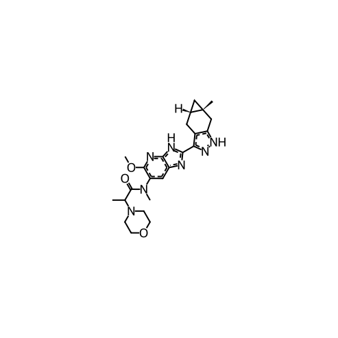 COc1nc2[nH]c(-c3n[nH]c4c3C[C@@H]3C[C@]3(C)C4)nc2cc1N(C)C(=O)C(C)N1CCOCC1